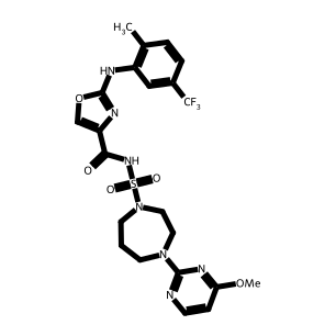 COc1ccnc(N2CCCN(S(=O)(=O)NC(=O)c3coc(Nc4cc(C(F)(F)F)ccc4C)n3)CC2)n1